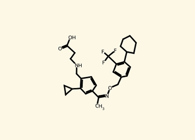 CC(=NOCc1ccc(C2CCCCC2)c(C(F)(F)F)c1)c1ccc(CNCCC(=O)O)c(C2CC2)c1